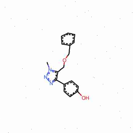 Cn1nnc(-c2ccc(O)cc2)c1COCc1ccccc1